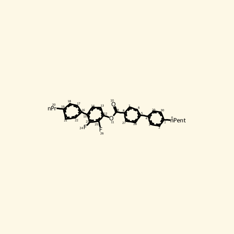 CCCCCc1ccc(-c2ccc(C(=O)Oc3ccc(-c4ccc(CCC)cc4)c(F)c3F)cc2)cc1